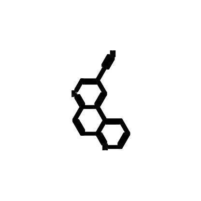 N#Cc1cnc2ccc3ncccc3c2c1